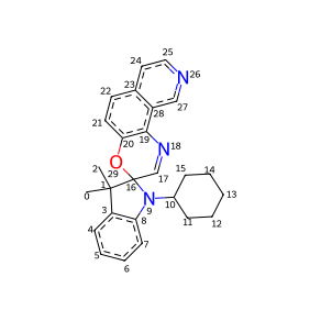 CC1(C)c2ccccc2N(C2CCCCC2)C12C=Nc1c(ccc3ccncc13)O2